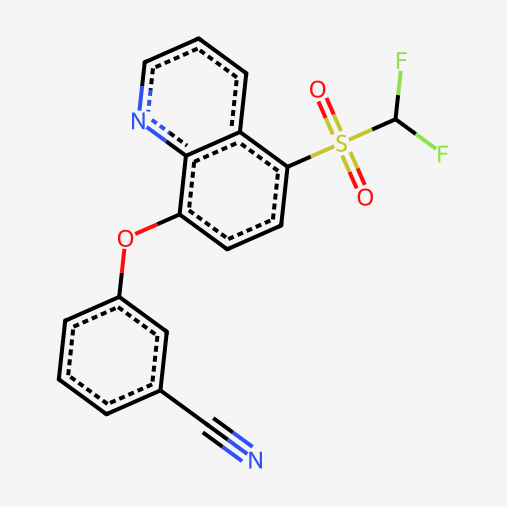 N#Cc1cccc(Oc2ccc(S(=O)(=O)C(F)F)c3cccnc23)c1